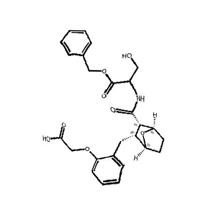 O=C(O)COc1ccccc1C[C@@H]1[C@H](C(=O)NC(CO)C(=O)OCc2ccccc2)[C@H]2CC[C@@H]1O2